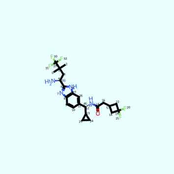 CC(C)(C[C@H](N)c1nc2ccc([C@H](NC(=O)CC3CC(F)(F)C3)C3CC3)cc2[nH]1)C(F)(F)F